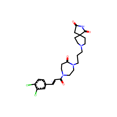 O=C1CC2(CCN(CCCN3CCN(C(=O)/C=C/c4ccc(Cl)c(Cl)c4)CCC3=O)CC2)C(=O)N1